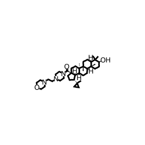 CC1([C@@H]2CC[C@]3(C(=O)N4CCN(CCN5CCOCC5)CC4)CC[C@]4(C)[C@H](CC[C@@H]5[C@@]6(C)CC[C@H](O)C(C)(C)[C@@H]6CC[C@]54C)[C@@H]23)CC1